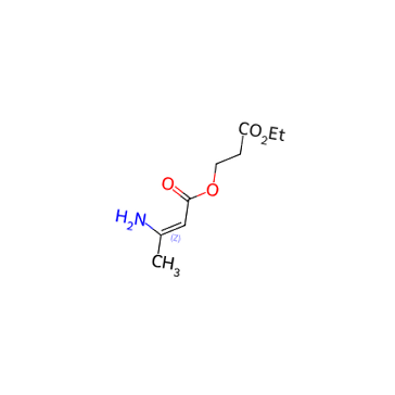 CCOC(=O)CCOC(=O)/C=C(/C)N